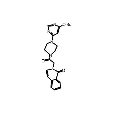 CC(C)COc1cc(N2CCN(C(=O)Cn3ccc4ccccc4c3=O)CC2)ncn1